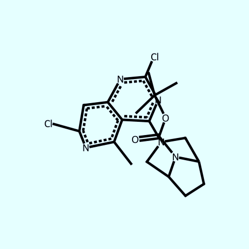 Cc1nc(Cl)cc2nc(Cl)nc(N3CC4CCC(C3)N4C(=O)OC(C)(C)C)c12